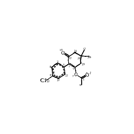 CC(=O)OC1=C(c2ccc(Cl)cc2)C(=O)CC(C)(C)C1